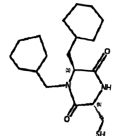 O=C1N[C@H](CS)C(=O)N(CC2CCCCC2)[C@H]1CC1CCCCC1